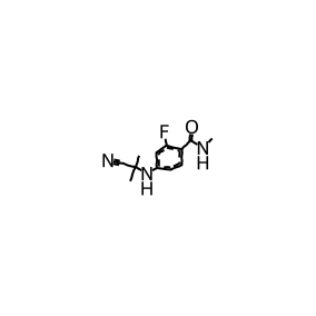 CNC(=O)c1ccc(NC(C)(C)C#N)cc1F